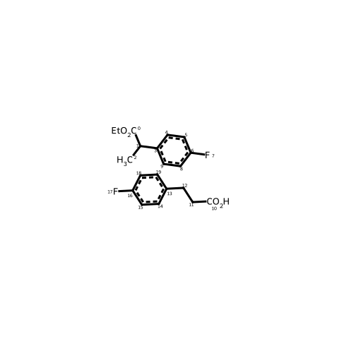 CCOC(=O)C(C)c1ccc(F)cc1.O=C(O)CCc1ccc(F)cc1